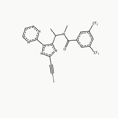 CC#Cc1nc(C(C)N(C)C(=O)c2cc(C(F)(F)F)cc(C(F)(F)F)c2)n(-c2ncccn2)n1